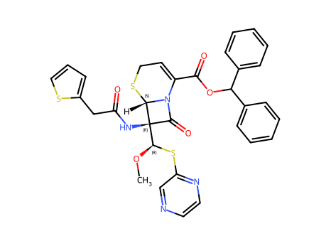 CO[C@H](Sc1cnccn1)[C@@]1(NC(=O)Cc2cccs2)C(=O)N2C(C(=O)OC(c3ccccc3)c3ccccc3)=CCS[C@H]21